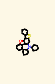 c1ccc(N(c2ccccc2)c2cc3sc4ccccc4c3c3oc4ccccc4c23)cc1